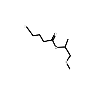 COCC(C)OC(=O)CCCCl